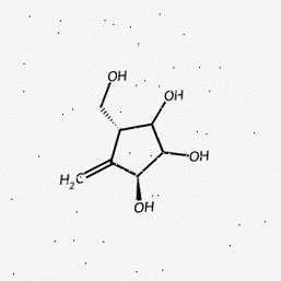 C=C1[C@H](O)C(O)C(O)[C@H]1CO